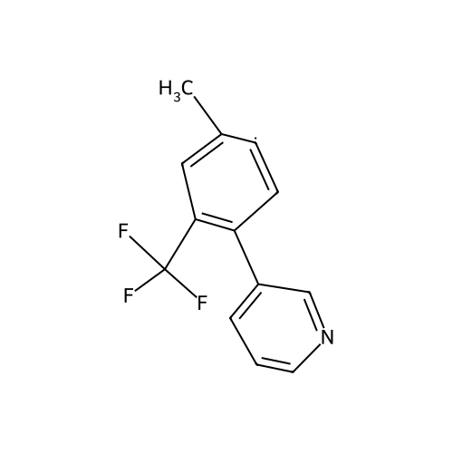 Cc1[c]cc(-c2cccnc2)c(C(F)(F)F)c1